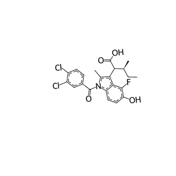 CC[C@H](C)C(C(=O)O)c1c(C)n(C(=O)c2ccc(Cl)c(Cl)c2)c2ccc(O)c(F)c12